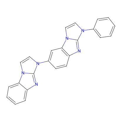 c1ccc(-n2ccn3c4cc(-n5ccn6c7ccccc7nc56)ccc4nc23)cc1